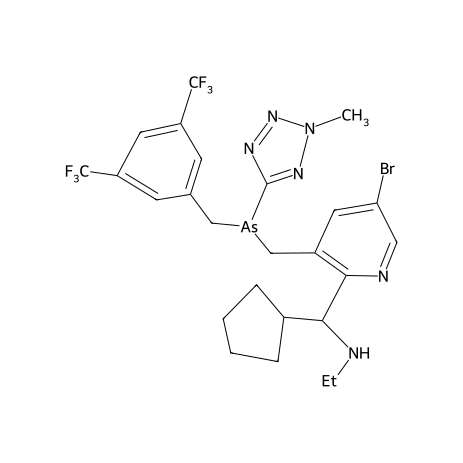 CCNC(c1ncc(Br)cc1C[As](Cc1cc(C(F)(F)F)cc(C(F)(F)F)c1)c1nnn(C)n1)C1CCCC1